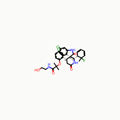 CC(C)(Oc1ccc(Cl)cc1[C@H]1CC(=O)N[C@@H](C2C=CC=CC2(C)F)[C@]12C(=O)Nc1cc(Cl)ccc12)C(=O)NCCO